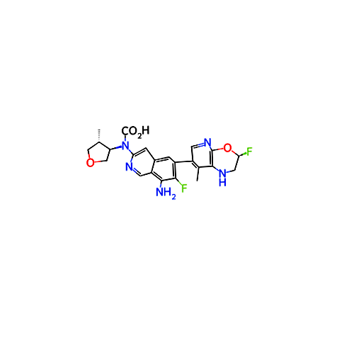 Cc1c(-c2cc3cc(N(C(=O)O)[C@H]4COC[C@@H]4C)ncc3c(N)c2F)cnc2c1NC[C@H](F)O2